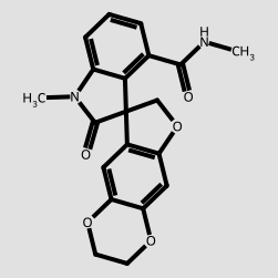 CNC(=O)c1cccc2c1C1(COc3cc4c(cc31)OCCO4)C(=O)N2C